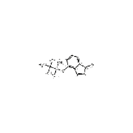 CC(C)(C)[Si](C)(C)Oc1cccc2c1C=C[CH]2[Zr]